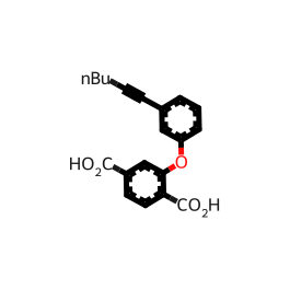 CCCCC#Cc1cccc(Oc2cc(C(=O)O)ccc2C(=O)O)c1